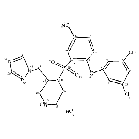 Cl.N#Cc1ccc(Oc2cc(Cl)cc(Cl)c2)c(S(=O)(=O)N2CCNCC2Cn2cncn2)c1